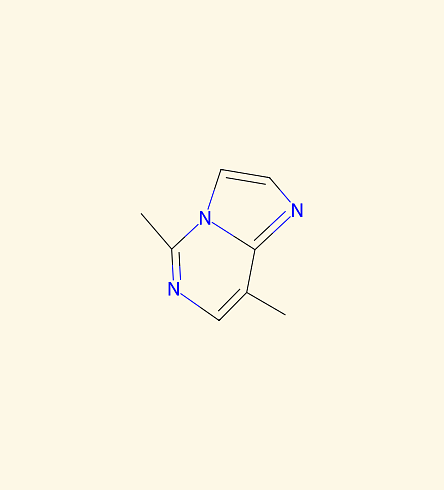 Cc1cnc(C)n2ccnc12